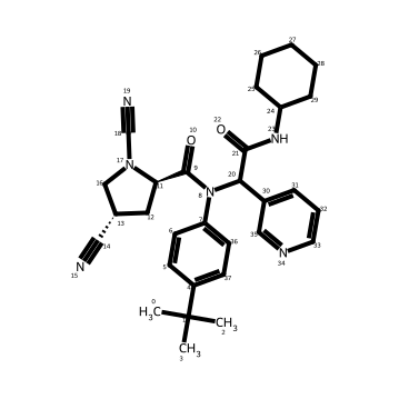 CC(C)(C)c1ccc(N(C(=O)[C@H]2C[C@H](C#N)CN2C#N)C(C(=O)NC2CCCCC2)c2cccnc2)cc1